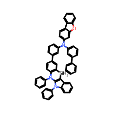 c1ccc(-c2cccc(N(c3cccc(-c4ccc5c(c4)[SiH2]c4c(n(-c6ccccc6)c6ccccc46)N5c4ccccc4)c3)c3ccc4c(c3)oc3ccccc34)c2)cc1